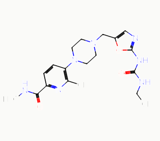 CCNC(=O)Nc1ncc(CN2CCN(c3ccc(C(=O)NC)nc3C)CC2)o1